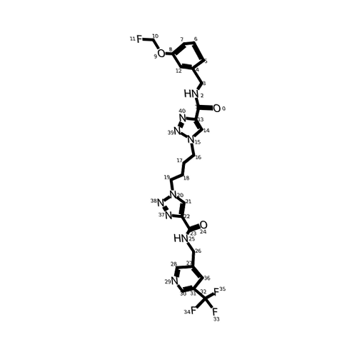 O=C(NCc1cccc(OCF)c1)c1cn(CCCCn2cc(C(=O)NCc3cncc(C(F)(F)F)c3)nn2)nn1